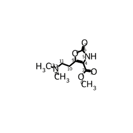 COC(=O)c1[nH]c(=O)oc1CCN(C)C